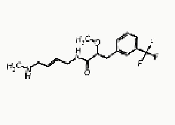 CNCC=CCNC(=O)C(Cc1cccc(C(F)(F)F)c1)OC